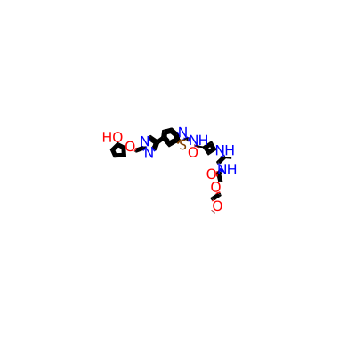 COCCOCC(=O)NC[C@H](C)N[C@H]1C[C@@H](C(=O)Nc2nc3ccc(-c4cnc(CO[C@H]5CCC[C@@H]5O)nc4)cc3s2)C1